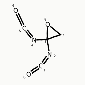 O=C=NC1(N=C=O)CO1